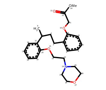 [CH2]C(CCc1ccccc1OCC(=O)OC)c1ccccc1OCCN1CCOCC1